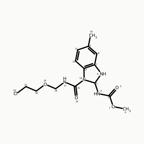 COC(=O)NC1Nc2cc(C)ccc2N1C(=O)NCOCCCl